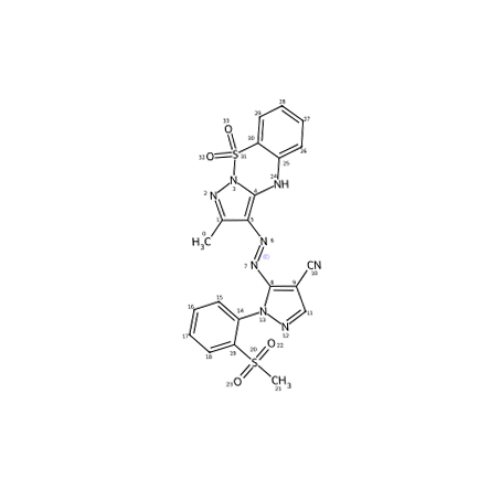 Cc1nn2c(c1/N=N/c1c(C#N)cnn1-c1ccccc1S(C)(=O)=O)Nc1ccccc1S2(=O)=O